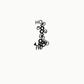 COc1c(CC(=O)O)ccc2c(OC)c(CC(=O)Oc3ccc4c5c3O[C@H]3C(=O)CC[C@@]6(O)[C@@H](C4)N(CC4CC4)C=C[C@]536)ccc12